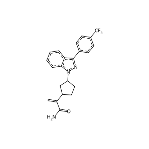 C=C(C(N)=O)C1CCC(n2nc(-c3ccc(C(F)(F)F)cc3)c3ccccc32)C1